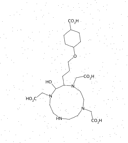 O=C(O)CN1CCNCCN(CC(=O)O)C(O)C(CCCOC2CCC(C(=O)O)CC2)N(CC(=O)O)CC1